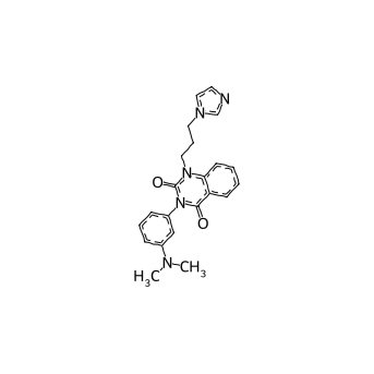 CN(C)c1cccc(-n2c(=O)c3ccccc3n(CCCn3ccnc3)c2=O)c1